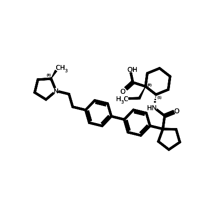 CC[C@@]1(C(=O)O)CCCC[C@@H]1NC(=O)C1(c2ccc(-c3ccc(CCN4CCC[C@H]4C)cc3)cc2)CCCC1